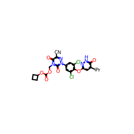 CC(C)c1cc(Oc2c(Cl)cc(-n3nc(C#N)c(=O)n(COC(=O)OC4CCC4)c3=O)cc2Cl)n[nH]c1=O